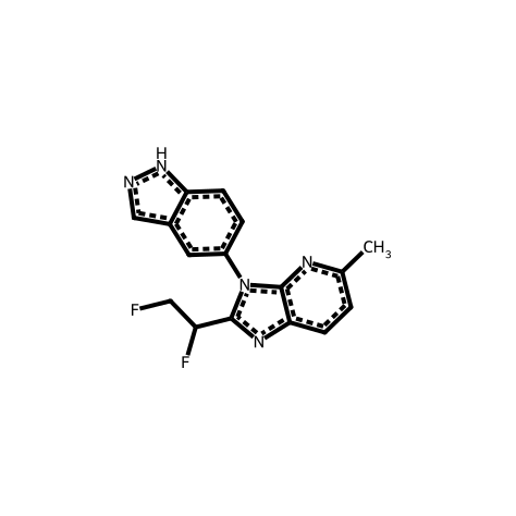 Cc1ccc2nc(C(F)CF)n(-c3ccc4[nH]ncc4c3)c2n1